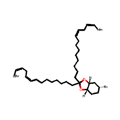 CCCC/C=C\C/C=C\CCCCCCCCC1(CCCCCCCC/C=C\C/C=C\CCCC)O[C@H]2CC[C@@H](CC)C[C@H]2O1